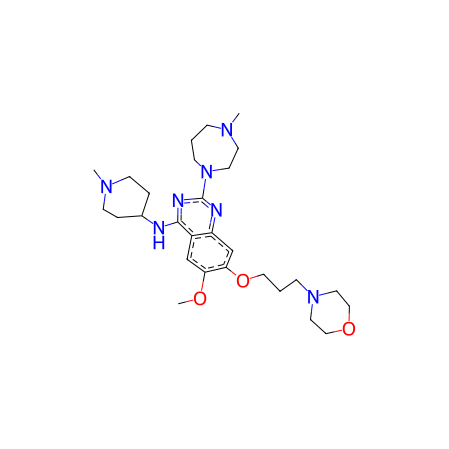 COc1cc2c(NC3CCN(C)CC3)nc(N3CCCN(C)CC3)nc2cc1OCCCN1CCOCC1